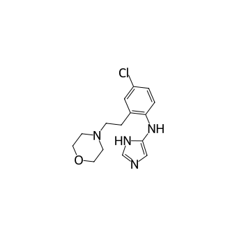 Clc1ccc(Nc2cnc[nH]2)c(CCN2CCOCC2)c1